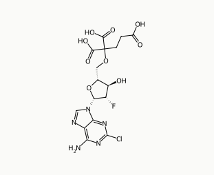 Nc1nc(Cl)nc2c1ncn2[C@@H]1O[C@H](COC(CCC(=O)O)(C(=O)O)C(=O)O)[C@@H](O)[C@@H]1F